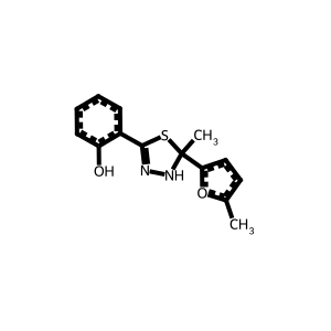 Cc1ccc(C2(C)NN=C(c3ccccc3O)S2)o1